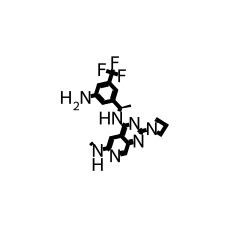 CNc1cc2c(N[C@H](C)c3cc(N)cc(C(F)(F)F)c3)nc(N3CCC3)nc2cn1